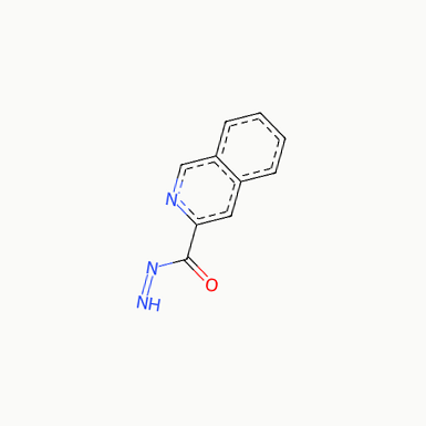 N=NC(=O)c1cc2ccccc2cn1